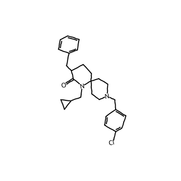 O=C1C(Cc2ccccc2)CCC2(CCN(Cc3ccc(Cl)cc3)CC2)N1CC1CC1